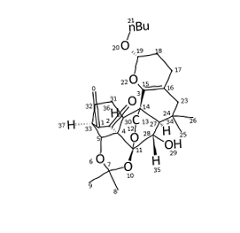 C=C1C(=O)[C@@]23C4OC(C)(C)O[C@]25OC[C@]2(C6=C(CC[C@@H](OCCCC)O6)CC(C)(C)[C@H]2[C@@H]5O)[C@@H]3CC[C@@H]14